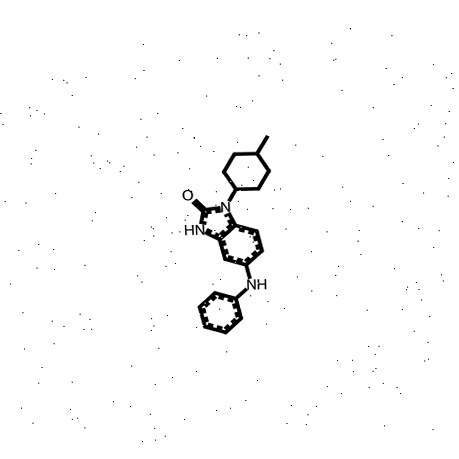 CC1CCC(n2c(=O)[nH]c3cc(Nc4ccccc4)ccc32)CC1